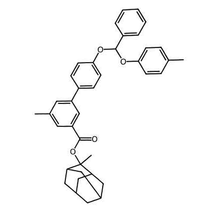 Cc1ccc(OC(Oc2ccc(-c3cc(C)cc(C(=O)OC4(C)C5CC6CC(C5)CC4C6)c3)cc2)c2ccccc2)cc1